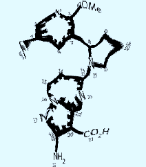 COc1ncc(F)cc1C1CCCN1c1ccn2nc(N)c(C(=O)O)c2n1